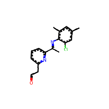 CC(=Nc1c(C)cc(C)cc1Cl)c1cccc(CC=O)n1